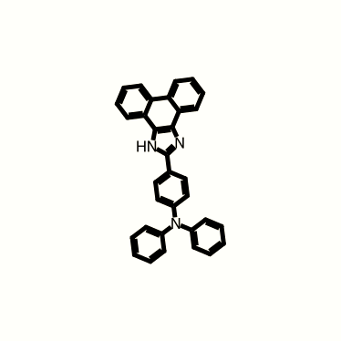 c1ccc(N(c2ccccc2)c2ccc(-c3nc4c5ccccc5c5ccccc5c4[nH]3)cc2)cc1